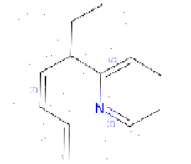 C=C/C=C\C(CC)C(=C/C)/N=C\C